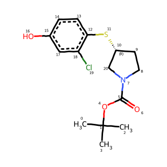 CC(C)(C)OC(=O)N1CC[C@@H](Sc2ccc(O)cc2Cl)C1